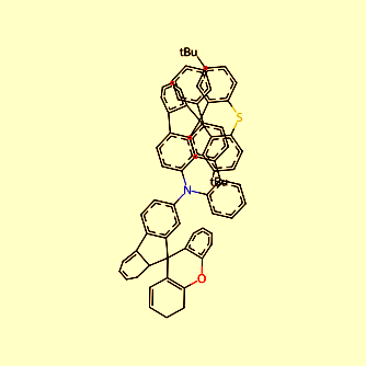 CC(C)(C)c1ccc2c(c1)C1(c3cc(C(C)(C)C)ccc3S2)c2ccccc2-c2ccc(N(c3ccc4c(c3)C3(C5=C(CCC=C5)Oc5ccccc53)C3CC=CC=C43)c3ccccc3-c3ccc(-c4ccccc4)cc3)cc21